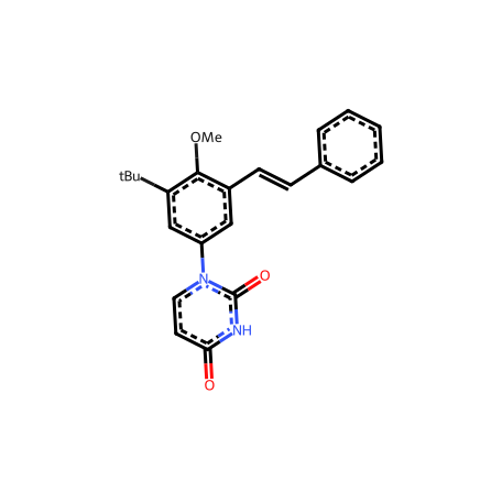 COc1c(/C=C/c2ccccc2)cc(-n2ccc(=O)[nH]c2=O)cc1C(C)(C)C